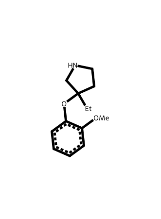 [CH2]CC1(Oc2ccccc2OC)CCNC1